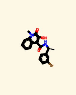 C[C@@H](NC(=O)c1c(O)c(=O)n(C)c2ccccc12)c1cccc(Br)c1